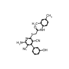 Cc1ccc(NC(=O)CSc2nc(N)c(C#N)c(-c3cccc(O)c3)c2C#N)c(C)c1